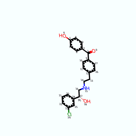 O=C(c1ccc(O)cc1)c1ccc(CCNC[C@H](O)c2cccc(Cl)c2)cc1